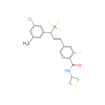 Cc1cc(Cl)cc(C(/C=C/c2ccc(C(=O)NC3CSC3)c(F)c2)C(F)(F)F)c1